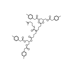 Cc1ccc(CC(=O)OCC(COC(=O)Cc2ccc(C)cc2)OC(=O)CCCN(CCCC(=O)OC(COC(=O)Cc2ccc(C)cc2)COC(=O)Cc2ccc(C)cc2)C(=O)SCCCN(C)C)cc1